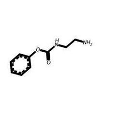 NCCNC(=O)Oc1ccccc1